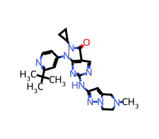 CN1CCn2nc(Nc3ncc4c(=O)n(C5CC5)n(-c5ccnc(C(C)(C)C)c5)c4n3)cc2C1